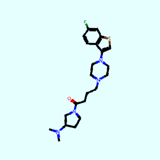 CN(C)C1CCN(C(=O)CCCN2CCN(c3csc4cc(F)ccc34)CC2)C1